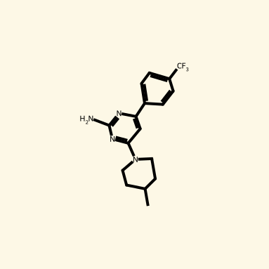 CC1CCN(c2cc(-c3ccc(C(F)(F)F)cc3)nc(N)n2)CC1